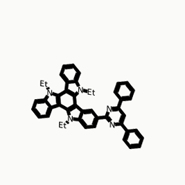 CCn1c2ccccc2c2c1c1c3ccccc3n(CC)c1c1c3cc(-c4nc(-c5ccccc5)cc(-c5ccccc5)n4)ccc3n(CC)c21